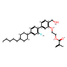 C=C(C)C(=O)OCCOc1cc(-c2ccc(C3CCC(CCCCC)CC3)cc2F)ccc1CO